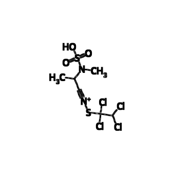 CC(C#[N+]SC(Cl)(Cl)C(Cl)Cl)N(C)S(=O)(=O)O